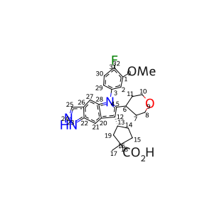 COc1cc(-n2c(C3CCOCC3)c([C@@H]3CC[C@@](C)(C(=O)O)C3)c3cc4[nH]ncc4cc32)ccc1F